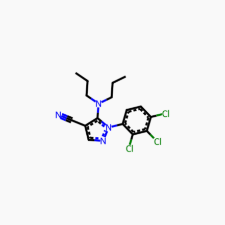 CCCN(CCC)c1c(C#N)cnn1-c1ccc(Cl)c(Cl)c1Cl